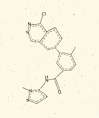 Cc1ccc(C(=O)Nc2ccnn2C)cc1-c1ccc2c(Cl)nncc2c1